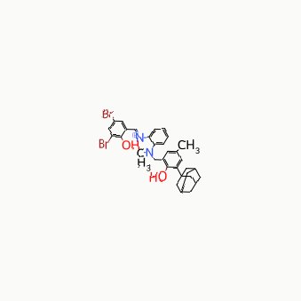 Cc1cc(CN(C)c2ccccc2/N=C/c2cc(Br)cc(Br)c2O)c(O)c(C23CC4CC(CC(C4)C2)C3)c1